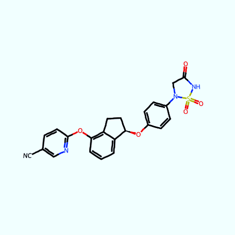 N#Cc1ccc(Oc2cccc3c2CC[C@H]3Oc2ccc(N3CC(=O)NS3(=O)=O)cc2)nc1